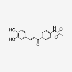 CS(=O)(=O)Nc1ccc(C(=O)C=Cc2ccc(O)c(O)c2)cc1